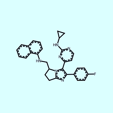 Fc1ccc(-c2nc3n(c2-c2ccnc(NC4CC4)n2)C(CNc2cccc4ccccc24)CC3)cc1